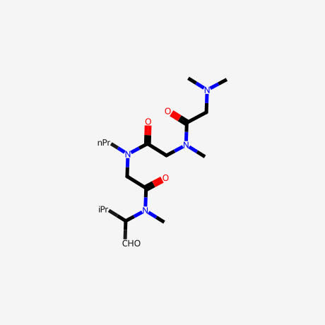 CCCN(CC(=O)N(C)C(C=O)C(C)C)C(=O)CN(C)C(=O)CN(C)C